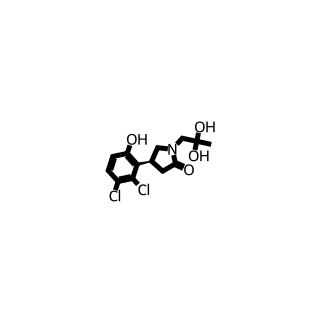 CC(O)(O)CN1C[C@H](c2c(O)ccc(Cl)c2Cl)CC1=O